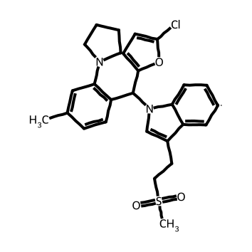 Cc1ccc(C(c2ccc(Cl)o2)n2cc(CCS(C)(=O)=O)c3c[c]ccc32)c(N2CCCC2)c1